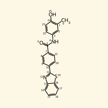 Cc1cc(NC(=O)c2ccc(-c3nc4ccccc4s3)cc2)ccc1O